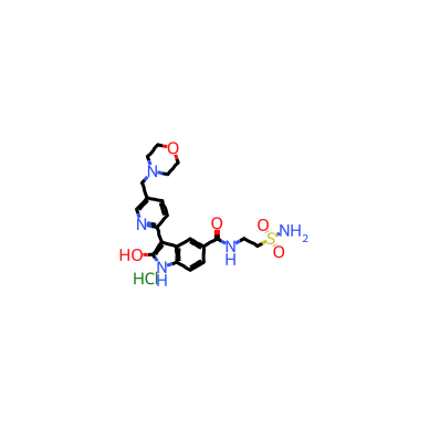 Cl.NS(=O)(=O)CCNC(=O)c1ccc2[nH]c(O)c(-c3ccc(CN4CCOCC4)cn3)c2c1